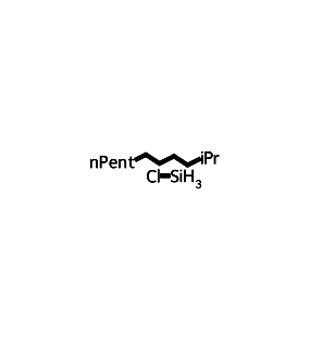 CCCCCCCCCC(C)C.[SiH3]Cl